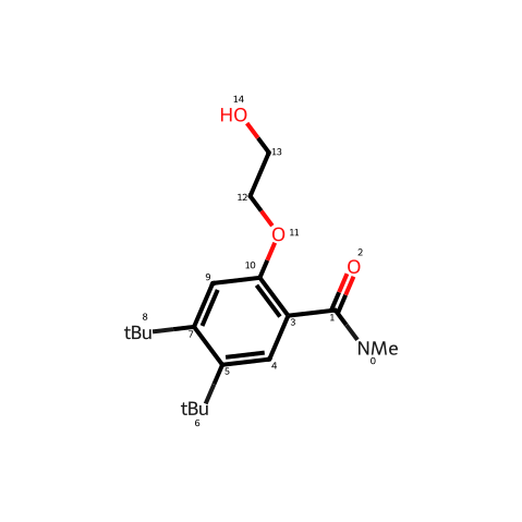 CNC(=O)c1cc(C(C)(C)C)c(C(C)(C)C)cc1OCCO